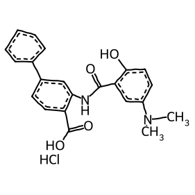 CN(C)c1ccc(O)c(C(=O)Nc2cc(-c3ccccc3)ccc2C(=O)O)c1.Cl